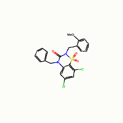 COc1ccccc1CN1C(=O)N(Cc2ccccc2)c2cc(Cl)cc(Cl)c2S1(=O)=O